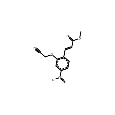 COC(=O)C=Cc1ccc([N+](=O)[O-])cc1OCC#N